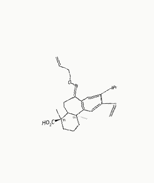 C=CCON=C1CC2[C@](C)(C(=O)O)CCC[C@]2(C)c2cc(C=C)c(C(C)C)cc21